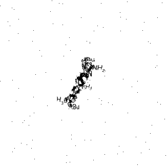 CC[C@H](C)Oc1nc(N)c2ncc(Cc3cnc(N4CCN(C(=O)CN(C)C(=O)OC(C)(C)C)CC4)c(C)c3)n2n1